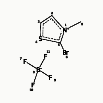 C[n+]1ccsc1Br.F[B-](F)(F)F